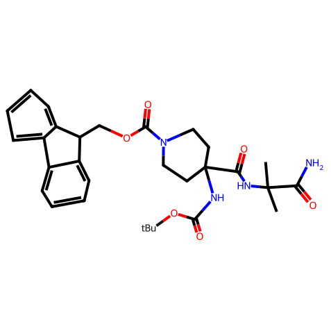 CC(C)(C)OC(=O)NC1(C(=O)NC(C)(C)C(N)=O)CCN(C(=O)OCC2c3ccccc3-c3ccccc32)CC1